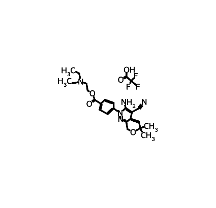 CCN(CC)CCOC(=O)c1ccc(N2N=C3COC(C)(C)C=C3C(C#N)=C2N)cc1.O=C(O)C(F)(F)F